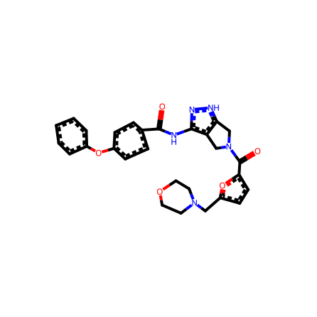 O=C(Nc1n[nH]c2c1CN(C(=O)c1ccc(CN3CCOCC3)o1)C2)c1ccc(Oc2ccccc2)cc1